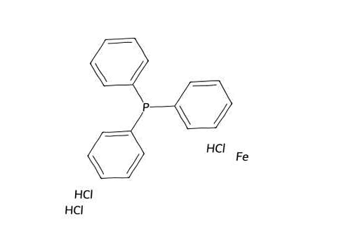 Cl.Cl.Cl.[Fe].c1ccc(P(c2ccccc2)c2ccccc2)cc1